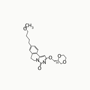 COCCCCc1ccc2c(c1)CCn1c-2cc(OC[C@@H]2COCCO2)nc1=O